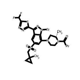 CCn1nc(-c2nnc(C(F)F)s2)c2cc(S(=O)(=O)CC3(C)CC3)cc(N3CCN(C(=O)C(C)C)[C@@H](C)C3)c21